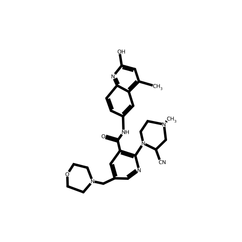 Cc1cc(O)nc2ccc(NC(=O)c3cc(CN4CCOCC4)cnc3N3CCN(C)CC3C#N)cc12